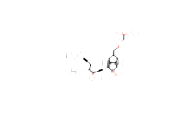 CC#CCC(C)[C@@H](O)C#C[C@H]1[C@@H]2CC(CCOCC(=O)O)C[C@@H]2C[C@@H]1O